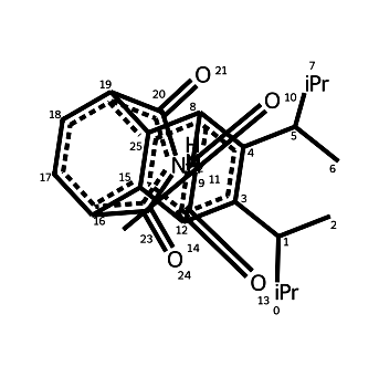 CC(C)C(C)c1c(C(C)C(C)C)c2c(=O)[nH]c(=O)c1c1c3ccc(c(=O)[nH]c3=O)c21